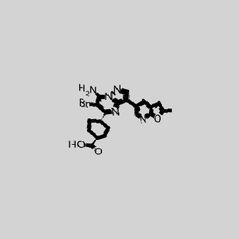 Cc1cc2cc(-c3cnn4c(N)c(Br)c([C@H]5CC[C@H](C(=O)O)CC5)nc34)cnc2o1